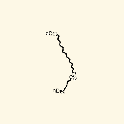 CCCCCCCCC=CCCCCCCCCCCCCOC(=O)OCCCCCCCCCCCCCC